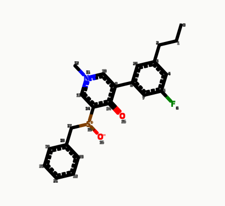 CCCc1cc(F)cc(-c2cn(C)cc([S+]([O-])Cc3ccccc3)c2=O)c1